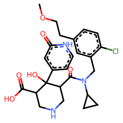 COCCc1ccc(Cl)c(CN(C(=O)C2CNCC(C(=O)O)C2(O)c2cc[nH]c(=O)c2)C2CC2)c1